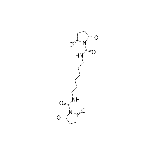 O=C1CCC(=O)N1C(=O)NCCCCCCNC(=O)N1C(=O)CCC1=O